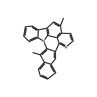 Cc1cc2c3ccccc3n3c4c(C)c5ccccc5cc4c4nccc1c4c23